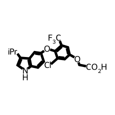 CC(C)c1c[nH]c2ccc(Oc3c(Cl)cc(OCC(=O)O)cc3C(F)(F)F)cc12